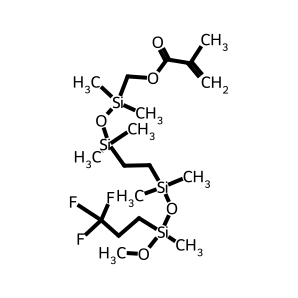 C=C(C)C(=O)OC[Si](C)(C)O[Si](C)(C)CC[Si](C)(C)O[Si](C)(CCC(F)(F)F)OC